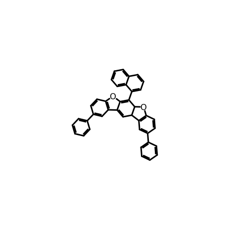 C1=c2c(oc3ccc(-c4ccccc4)cc23)=C(c2cccc3ccccc23)C2Oc3ccc(-c4ccccc4)cc3C12